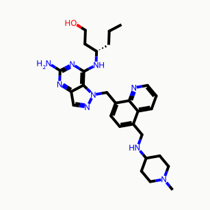 CCC[C@@H](CCO)Nc1nc(N)nc2cnn(Cc3ccc(CNC4CCN(C)CC4)c4cccnc34)c12